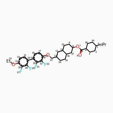 CCCC1CCC(C(=O)OC2CCC3CC(COc4ccc(-c5ccc(OCC)c(F)c5F)c(F)c4F)CCC3C2)CC1